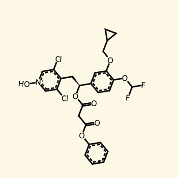 O=C(CC(=O)O[C@@H](Cc1c(Cl)c[n+](O)cc1Cl)c1ccc(OC(F)F)c(OCC2CC2)c1)Oc1ccccc1